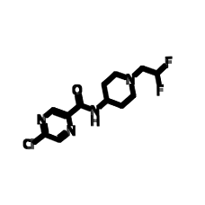 O=C(NC1CCN(CC(F)F)CC1)c1cnc(Cl)cn1